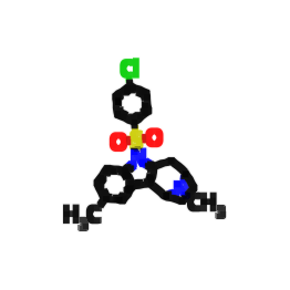 Cc1ccc2c(c1)c1c(n2S(=O)(=O)c2ccc(Cl)cc2)CC2CCC1N2C